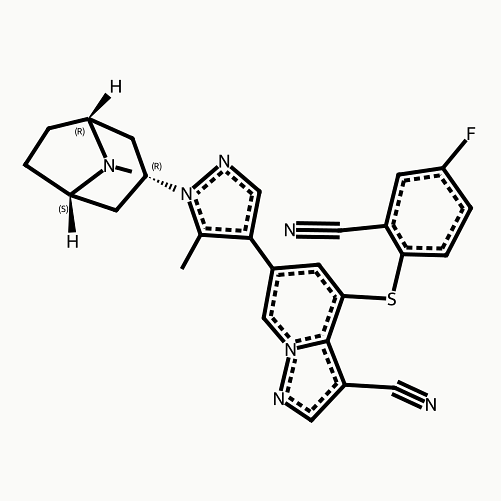 Cc1c(-c2cc(Sc3ccc(F)cc3C#N)c3c(C#N)cnn3c2)cnn1[C@H]1C[C@H]2CC[C@@H](C1)N2C